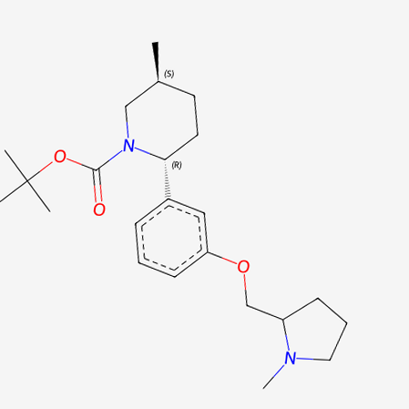 C[C@H]1CC[C@H](c2cccc(OCC3CCCN3C)c2)N(C(=O)OC(C)(C)C)C1